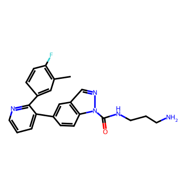 Cc1cc(-c2ncccc2-c2ccc3c(cnn3C(=O)NCCCN)c2)ccc1F